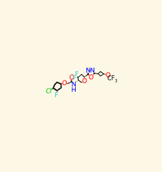 O=C(COc1ccc(Cl)c(F)c1)N[C@H]1CO[C@H](c2nnc(C3CC(OC(F)(F)F)C3)o2)CC1(F)F